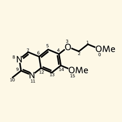 COCCOc1cc2cnc(C)nc2cc1OC